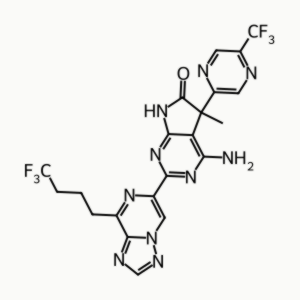 CC1(c2cnc(C(F)(F)F)cn2)C(=O)Nc2nc(-c3cn4ncnc4c(CCCC(F)(F)F)n3)nc(N)c21